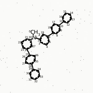 CN(c1cccc(-c2ccc(-c3ccccc3)cc2)c1)c1cccc(-c2ccc(-c3ccccc3)cc2)c1